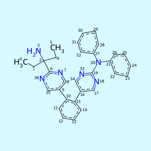 CCC(N)(CC)c1ncc(-c2ccccc2-c2cnc(N(c3ccccc3)c3ccccc3)nc2)cn1